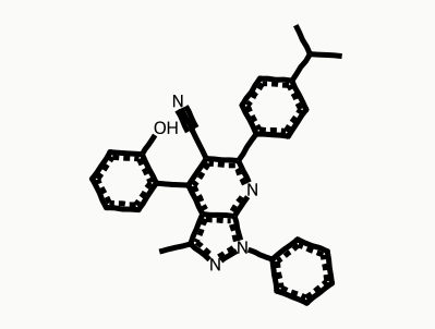 Cc1nn(-c2ccccc2)c2nc(-c3ccc(C(C)C)cc3)c(C#N)c(-c3ccccc3O)c12